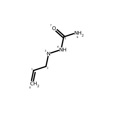 C=CC[N]NC(N)=O